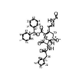 O=CNN=CC1=C(C(=O)OC(c2ccccc2)c2ccccc2)N2C(=O)C(NC(=O)Cc3cccs3)[C@@H]2[S+]([O-])C1